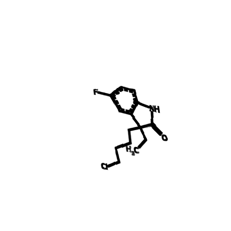 CCC1(CCCCCl)C(=O)Nc2ccc(F)cc21